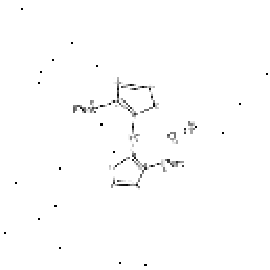 CCCC(C)C1=[C]([Ti+2][C]2=C(C(C)CCC)C=CC2)CC=C1.[Cl-].[Cl-]